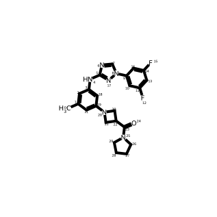 Cc1cc(Nc2ncn(-c3cc(F)cc(F)c3)n2)cc(N2CC(C(=O)N3CCCC3)C2)c1